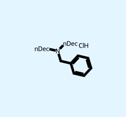 CCCCCCCCCCN(CCCCCCCCCC)Cc1ccccc1.Cl